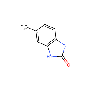 O=C1[N]c2ccc(C(F)(F)F)cc2N1